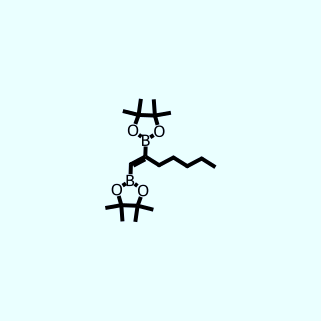 CCCCCC(=CB1OC(C)(C)C(C)(C)O1)B1OC(C)(C)C(C)(C)O1